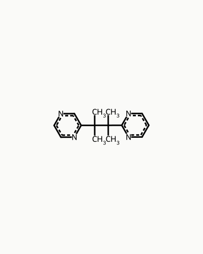 CC(C)(c1cnccn1)C(C)(C)c1ncccn1